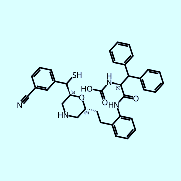 N#Cc1cccc(C(S)[C@@H]2CNC[C@@H](CCc3ccccc3NC(=O)[C@@H](NC(=O)O)C(c3ccccc3)c3ccccc3)O2)c1